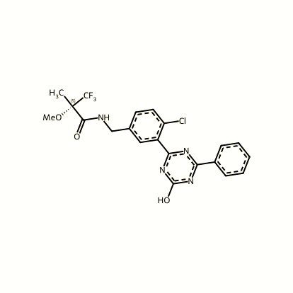 CO[C@@](C)(C(=O)NCc1ccc(Cl)c(-c2nc(O)nc(-c3ccccc3)n2)c1)C(F)(F)F